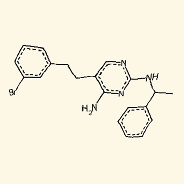 CC(Nc1ncc(CCc2cccc(Br)c2)c(N)n1)c1ccccc1